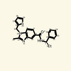 CC[C@@H](NC(=O)c1ccc2c(c1)nc(C)n2Cc1cccs1)c1ccccc1